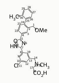 COCc1cc(C2=NC(c3cc(Cl)cc(CN(C)CC(=O)O)c3)NO2)ccc1-c1ccccc1C